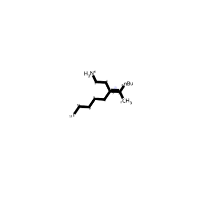 CCCC/C(C)=C(\CCN)CCCCI